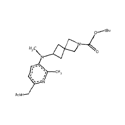 CC(=O)NCc1ccc(N(C)C2CC3(C2)CN(C(=O)OC(C)(C)C)C3)c(C)n1